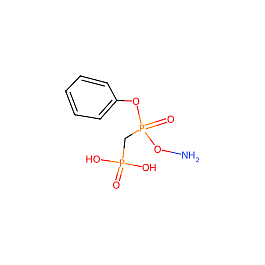 NOP(=O)(CP(=O)(O)O)Oc1ccccc1